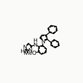 COc1cccc(-n2ccc(-c3ccccc3)c2-c2ccccc2)c1Nc1cn[nH]n1